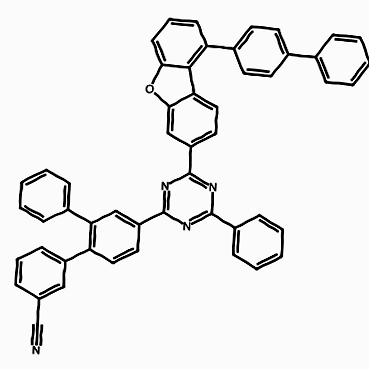 N#Cc1cccc(-c2ccc(-c3nc(-c4ccccc4)nc(-c4ccc5c(c4)oc4cccc(-c6ccc(-c7ccccc7)cc6)c45)n3)cc2-c2ccccc2)c1